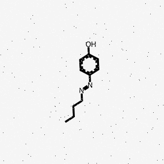 CCCCN=Nc1ccc(O)cc1